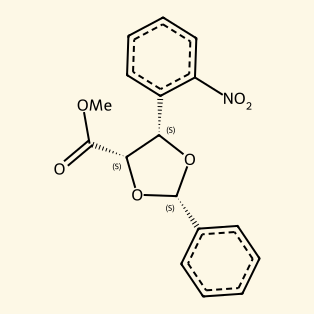 COC(=O)[C@H]1O[C@@H](c2ccccc2)O[C@H]1c1ccccc1[N+](=O)[O-]